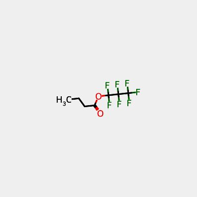 CCCC(=O)OC(F)(F)C(F)(F)C(F)(F)F